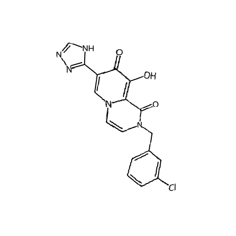 O=c1c(-c2nnc[nH]2)cn2ccn(Cc3cccc(Cl)c3)c(=O)c2c1O